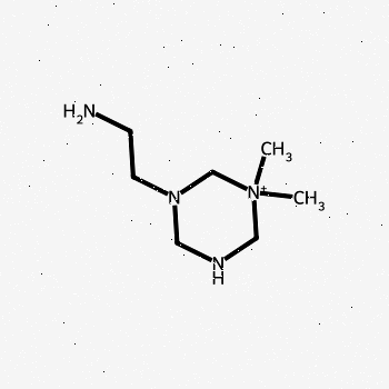 C[N+]1(C)CNCN(CCN)C1